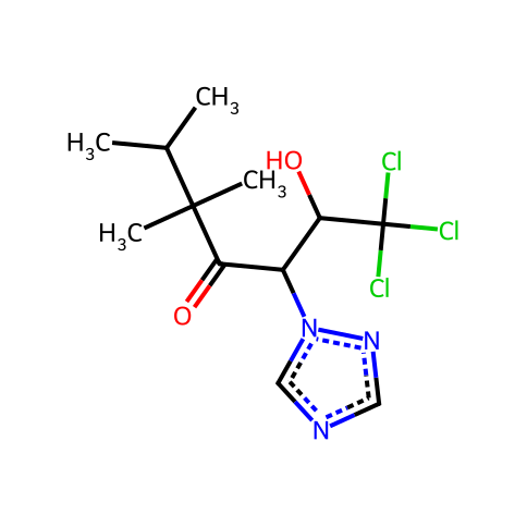 CC(C)C(C)(C)C(=O)C(C(O)C(Cl)(Cl)Cl)n1cncn1